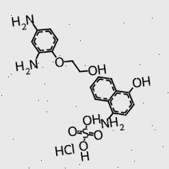 Cl.Nc1ccc(O)c2ccccc12.Nc1ccc(OCCO)c(N)c1.O=S(=O)(O)O